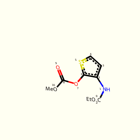 CCOC(=O)Nc1ccsc1OC(=O)OC